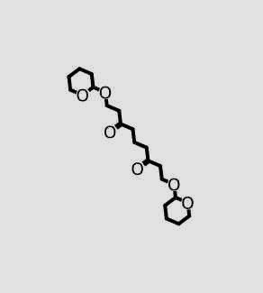 O=C(CCCC(=O)CCOC1CCCCO1)CCOC1CCCCO1